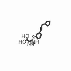 OC(O)c1nn[nH]c1Sc1cccc(C#CCC2CCCC2)c1